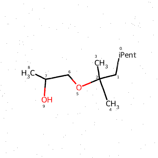 CCCC(C)CC(C)(C)OCC(C)O